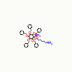 NCCCCCCO[C@]1(C(N)=O)[C@@H](OCc2ccccc2)[C@H](OCc2ccccc2)[C@@H](OCc2ccccc2)[C@H](OCc2ccccc2)[C@@H]1OCc1ccccc1